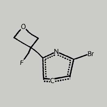 FC1(c2cccc(Br)n2)COC1